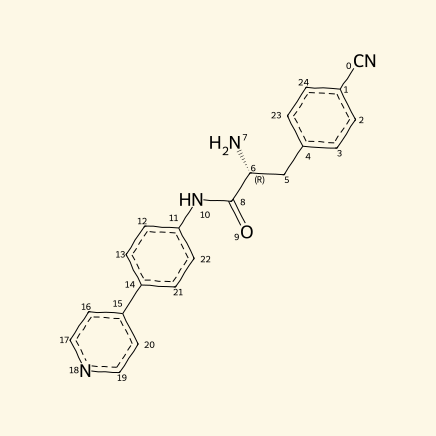 N#Cc1ccc(C[C@@H](N)C(=O)Nc2ccc(-c3ccncc3)cc2)cc1